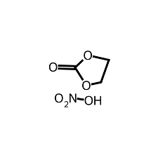 O=C1OCCO1.O=[N+]([O-])O